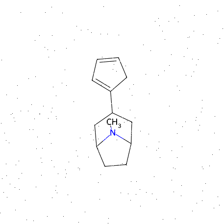 CN1C2CCC1CC(C1=CC=CC1)C2